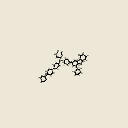 C1=CC(N(c2ccc(-c3ccc(-c4ccccc4)cc3)cc2)c2ccc(-c3cc(-c4ccccc4)c4sc5ccccc5c4c3)cc2)=CCC1